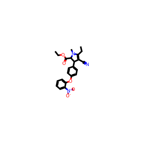 CCOC(=O)C1C(c2ccc(Oc3ccccc3[N+](=O)[O-])cc2)C(C#N)=C(CC)N1C